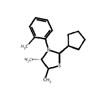 Cc1ccccc1N1C(C2CCCC2)SC(C)[C@@H]1C